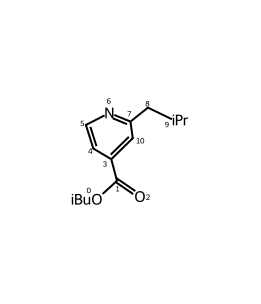 CC(C)COC(=O)c1ccnc(CC(C)C)c1